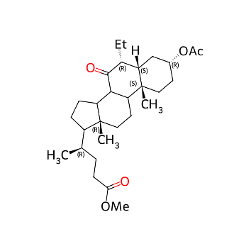 CC[C@H]1C(=O)C2C3CCC([C@H](C)CCC(=O)OC)[C@@]3(C)CCC2[C@@]2(C)CC[C@@H](OC(C)=O)C[C@@H]12